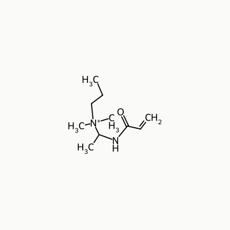 C=CC(=O)NC(C)[N+](C)(C)CCC